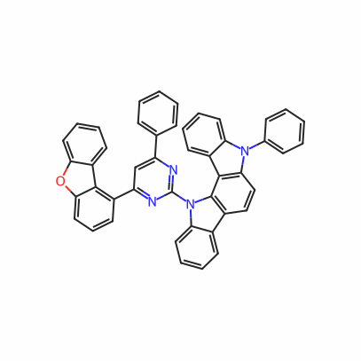 c1ccc(-c2cc(-c3cccc4oc5ccccc5c34)nc(-n3c4ccccc4c4ccc5c(c6ccccc6n5-c5ccccc5)c43)n2)cc1